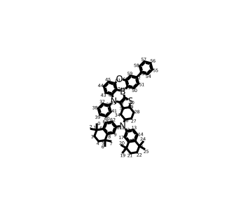 CC1(C)CCC(C)(C)c2cc(N(c3ccc4c(c3)C(C)(C)CCC4(C)C)C3CCC4SC5=C(C4C3)N(c3ccccc3)c3cccc4c3B5c3ccc(-c5ccccc5)cc3O4)ccc21